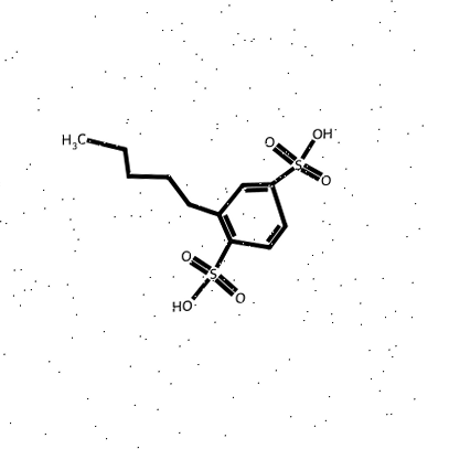 CCCCCc1cc(S(=O)(=O)O)ccc1S(=O)(=O)O